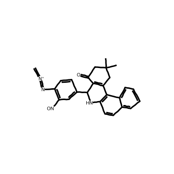 C=[N+]=Nc1ccc(C2Nc3ccc4ccccc4c3C3=C2C(=O)CC(C)(C)C3)cc1N=O